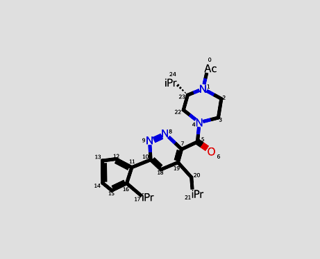 CC(=O)N1CCN(C(=O)c2nnc(-c3ccccc3C(C)C)cc2CC(C)C)C[C@@H]1C(C)C